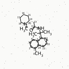 Cc1cccc2c(C(C)(C)NC(=O)C[C@H]3CCCCN3C)nccc12